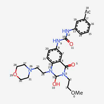 COCCN1C(=O)c2cc(NC(=O)Nc3cccc(C(C)=O)c3)ccc2N(CCN2CCOCC2)C1O